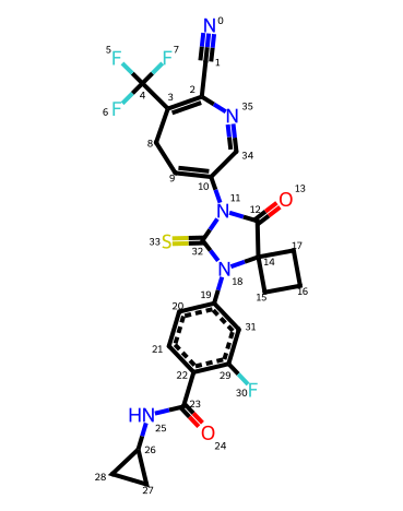 N#CC1=C(C(F)(F)F)CC=C(N2C(=O)C3(CCC3)N(c3ccc(C(=O)NC4CC4)c(F)c3)C2=S)C=N1